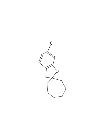 Clc1ccc2c(c1)OC1(CCCCCC1)C2